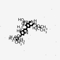 Cc1c(-c2cc3cc(NC(=O)OC(C)(C)C)ncc3c(NC(=O)O)c2F)cnc2c1NCC(CO[Si](C)(C)C(C)(C)C)C2